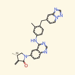 C=C1C(=O)N(c2ccc3ncnc(Nc4ccc(Cc5ccn6ncnc6c5)c(C)c4)c3c2)C[C@H]1C